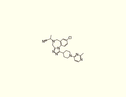 Cc1nccc(N2CCC(c3nnc4n3-c3ccc(Cl)cc3CN(C(C)C#N)C4)CC2)n1